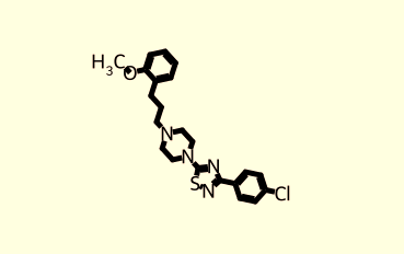 COc1ccccc1CCCN1CCN(c2nc(-c3ccc(Cl)cc3)ns2)CC1